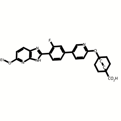 CCOc1ccc2nc(-c3ccc(-c4ccc(OC56CCC(C(=O)O)(CC5)CC6)nc4)cc3F)[nH]c2n1